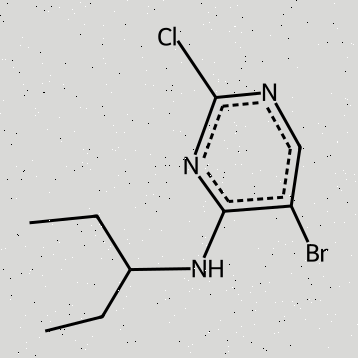 CCC(CC)Nc1nc(Cl)ncc1Br